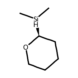 C[SiH](C)[C@H]1CCCCO1